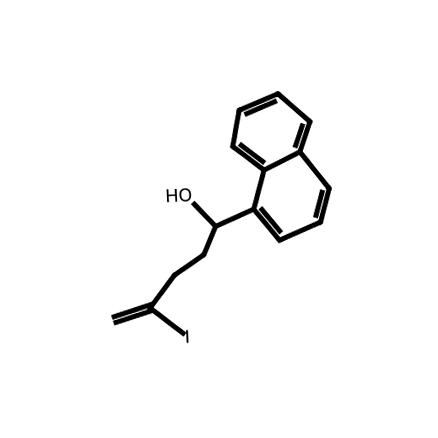 C=C(I)CCC(O)c1cccc2ccccc12